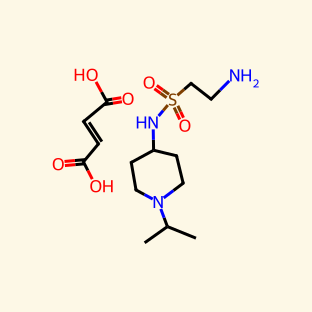 CC(C)N1CCC(NS(=O)(=O)CCN)CC1.O=C(O)C=CC(=O)O